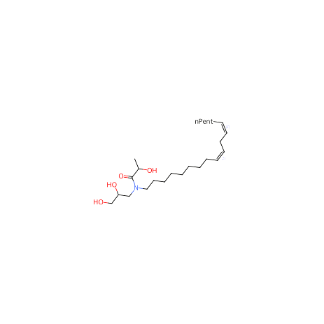 CCCCC/C=C\C/C=C\CCCCCCCCN(CC(O)CO)C(=O)C(C)O